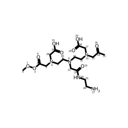 COOC(=O)CN(CCN(CCN(CC(C)=O)CC(=O)O)CC(=O)NCCN)CC(=O)O